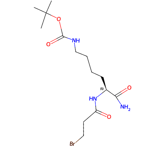 CC(C)(C)OC(=O)NCCCC[C@H](NC(=O)CCBr)C(N)=O